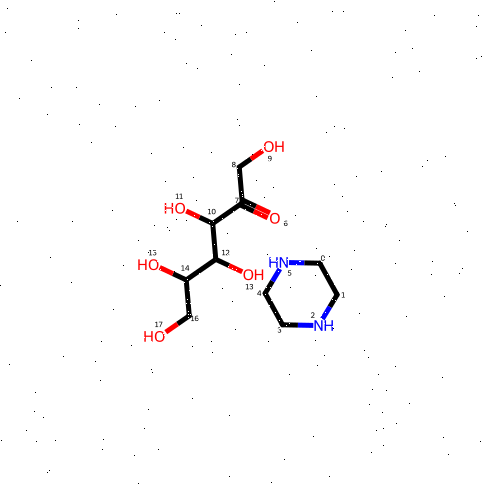 C1CNCCN1.O=C(CO)C(O)C(O)C(O)CO